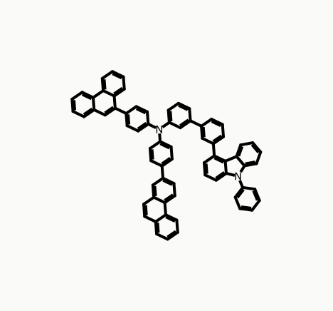 c1ccc(-n2c3ccccc3c3c(-c4cccc(-c5cccc(N(c6ccc(-c7ccc8c(ccc9ccccc98)c7)cc6)c6ccc(-c7cc8ccccc8c8ccccc78)cc6)c5)c4)cccc32)cc1